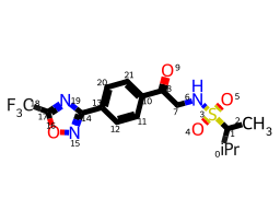 CC(C)C(C)S(=O)(=O)NCC(=O)c1ccc(-c2noc(C(F)(F)F)n2)cc1